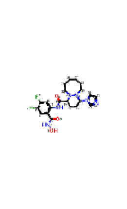 O=C(NO)c1cc(F)c(F)cc1NC(=O)C1CCC(n2ccnc2)N2CCCCCCN12